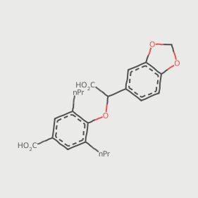 CCCc1cc(C(=O)O)cc(CCC)c1OC(C(=O)O)c1ccc2c(c1)OCO2